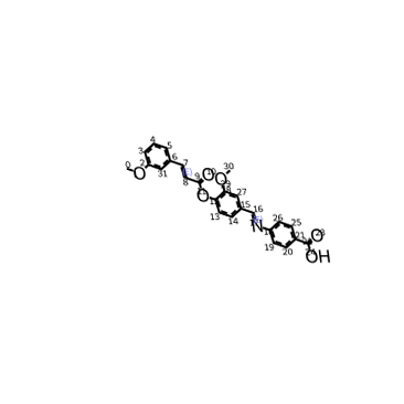 COc1cccc(/C=C/C(=O)Oc2ccc(/C=N/c3ccc(C(=O)O)cc3)cc2OC)c1